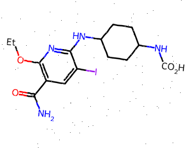 CCOc1nc(NC2CCC(NC(=O)O)CC2)c(I)cc1C(N)=O